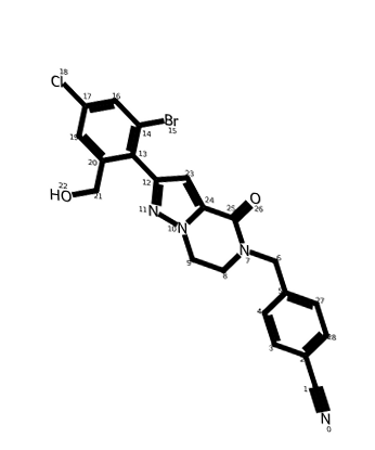 N#Cc1ccc(CN2CCn3nc(-c4c(Br)cc(Cl)cc4CO)cc3C2=O)cc1